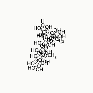 CC(=O)N[C@H]1[C@H](O[C@H]2[C@@H](O)[C@@H](CO)O[C@@H](O[C@H]3[C@@H](O)[C@@H](CO)O[C@@H](O[C@@H]4[C@H](O)[C@@H](O)[C@H](O[C@H]5[C@H](O)[C@@H](O)[C@H](O)O[C@@H]5CO)O[C@@H]4CO)[C@@H]3NC(C)=O)[C@@H]2O)O[C@H](CO)[C@@H](O[C@@H]2O[C@H](CO)[C@H](O)[C@H](O)[C@H]2O)[C@@H]1O[C@@H]1O[C@@H](C)[C@@H](O)[C@@H](O)[C@@H]1O